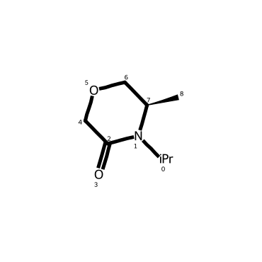 CC(C)N1C(=O)COC[C@H]1C